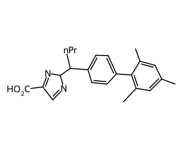 CCCC(c1ccc(-c2c(C)cc(C)cc2C)cc1)C1N=CC(C(=O)O)=N1